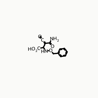 NC(=O)C(=C=O)C(NOCc1ccccc1)C(=O)O